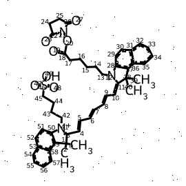 CC1(C)C(/C=C/C=C/C=C/C=C2\N(CCCCCC(=O)ON3C(=O)CCC3=O)c3ccc4ccccc4c3C2(C)C)=[N+](CCCCS(=O)(=O)O)c2ccc3ccccc3c21